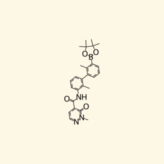 Cc1c(NC(=O)c2ccnn(C)c2=O)cccc1-c1cccc(B2OC(C)(C)C(C)(C)O2)c1C